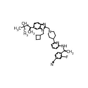 C=C(CC(C)(C)C)c1ccc2nc(CN3CCC(c4cccc(NC(=C)c5ccc(C#N)cc5F)n4)CC3)n(CC3CCC3)c2c1